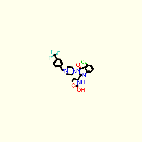 CCC(NC(=O)O)c1nc2cccc(Cl)c2c(=O)n1N1CCN(Cc2ccc(C(F)(F)F)cc2)CC1